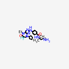 CCN1C(=O)C(F)(F)CN(C2CCCC2)c2nc(Nc3ccc(C(=O)NC(C)(C)CCN)cc3)ncc21